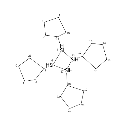 C1CCC([SiH]2[SiH](C3CCCC3)[SiH](C3CCCC3)[SiH]2C2CCCC2)C1